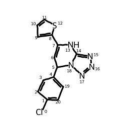 Clc1ccc(C2C=C(c3cccs3)Nc3nnnn32)cc1